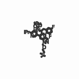 CC(C)c1ccc(-c2cc3c(cnn3COCC[Si](C)(C)C)nc2C(Cc2cc(F)cc(F)c2)NC(=O)OC(C)(C)C)cn1